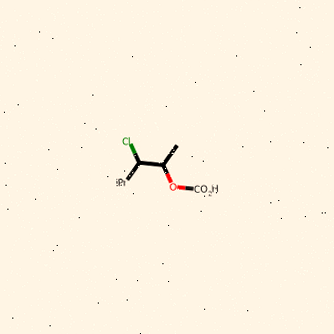 CC(C)C(Cl)C(C)OC(=O)O